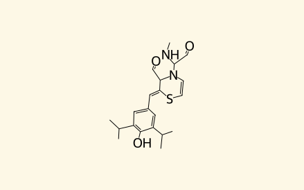 CNC(C=O)N1C=CSC(=Cc2cc(C(C)C)c(O)c(C(C)C)c2)C1C=O